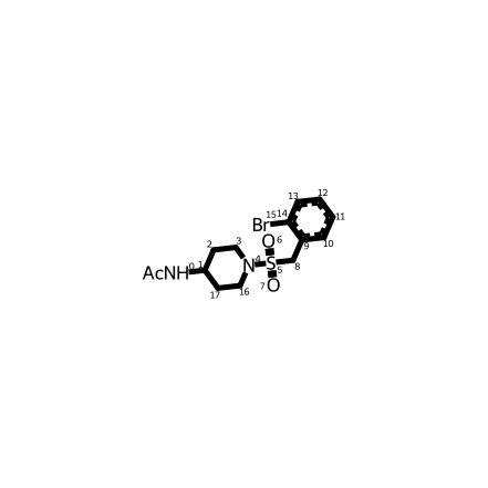 CC(=O)NC1CCN(S(=O)(=O)Cc2ccccc2Br)CC1